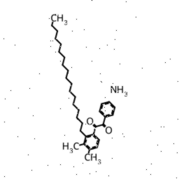 CCCCCCCCCCCCCCCCCCc1c(C(=O)C(=O)c2ccccc2)ccc(C)c1C.N